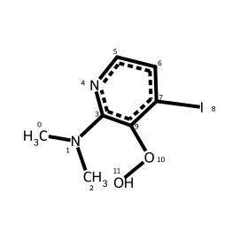 CN(C)c1nccc(I)c1OO